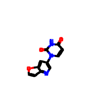 O=c1ccn(-c2cnc3ccoc3c2)c(=O)[nH]1